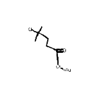 CCCCOC(=O)CCC(C)(C)Cl